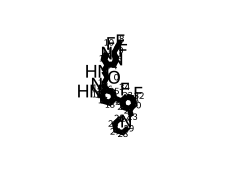 O=C(Nc1cnc(C(F)(F)F)nc1)c1n[nH]c2ccc(-c3cc(CN4CCCCC4)cc(F)c3F)cc12